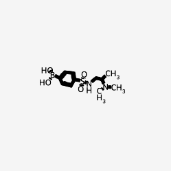 CC(CNS(=O)(=O)c1ccc(B(O)O)cc1)N(C)C